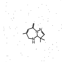 C=C1C=C(C)CNC2N1N=CC2(C)C